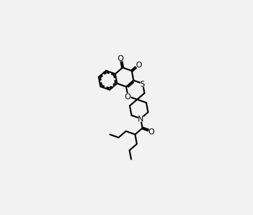 CCCC(CCC)C(=O)N1CCC2(CC1)CSC1=C(O2)c2ccccc2C(=O)C1=O